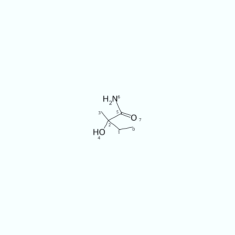 CCC(C)(O)C(N)=O